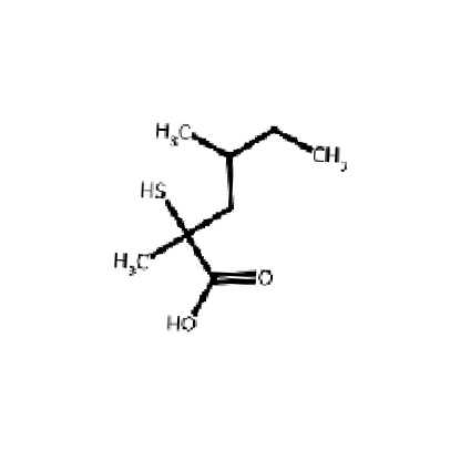 CCC(C)CC(C)(S)C(=O)O